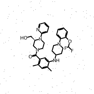 Cc1cc(C)c(C(=O)N2CCN(c3ccccn3)[C@H](CO)C2)cc1NC1CCN(c2ccccc2OC(F)F)CC1